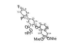 CCCOC(=O)c1cc(-c2ccc(F)cc2F)ccc1Oc1ccnc2cc(OC)c(OC)cc12